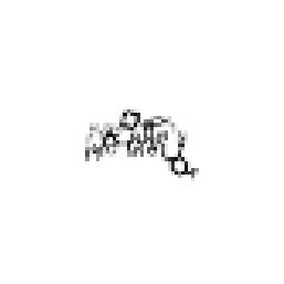 COc1cccc(OC)c1-n1c(NS(=O)(=O)CCc2ccc(F)cc2C#N)nnc1-c1ccc(C(F)(F)F)o1